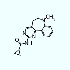 CN1CCc2cnc(NC(=O)C3CC3)nc2-c2ccccc21